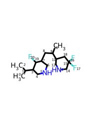 CC(C)C1CNCC(CC(C)C2CNCC(F)(F)C2)C1F